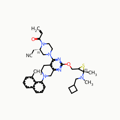 C=CC(=O)N1CCN(c2nc(OCC3S[C@]3(C)N(C)CC3CCC3)nc3c2CCN(c2cccc4cccc(C)c24)C3)C[C@@H]1CC#N